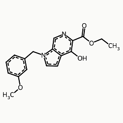 CCOC(=O)c1ncc2c(ccn2Cc2cccc(OC)c2)c1O